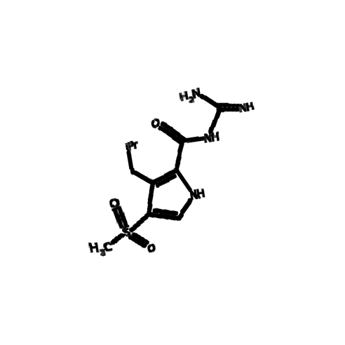 CC(C)Cc1c(S(C)(=O)=O)c[nH]c1C(=O)NC(=N)N